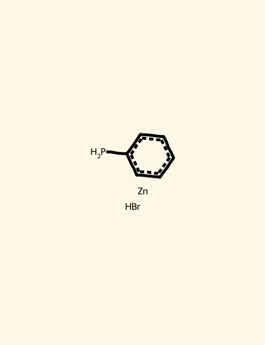 Br.Pc1ccccc1.[Zn]